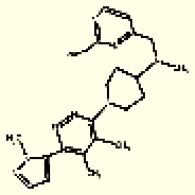 CSc1nccc(CN(C)C2CCN(c3nnc(-c4ccnn4C)c(C)c3C)CC2)n1